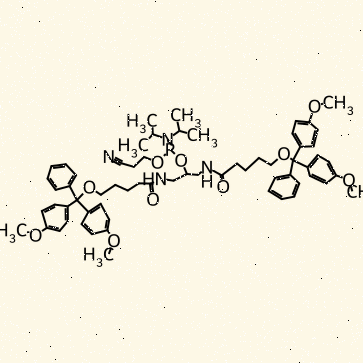 COc1ccc(C(OCCCCC(=O)NCC(CNC(=O)CCCCOC(c2ccccc2)(c2ccc(OC)cc2)c2ccc(OC)cc2)OP(OCCC#N)N(C(C)C)C(C)C)(c2ccccc2)c2ccc(OC)cc2)cc1